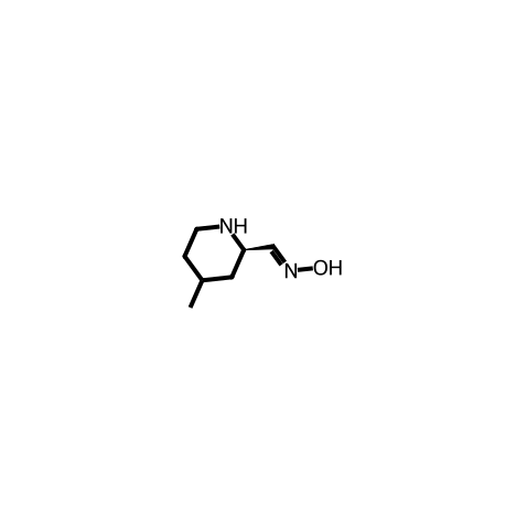 CC1CCN[C@@H](C=NO)C1